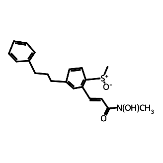 CN(O)C(=O)/C=C/c1cc(CCCc2ccccc2)ccc1[S+](C)[O-]